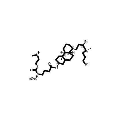 CCCCCCCCCCN(CCCC(=O)O[C@H]1CC[C@@]2(C)C(=CC[C@H]3[C@H](CC[C@@H](CC)[C@H](C)CCCC(C)C)CCC[C@@H]32)C1)C(=O)SCCN(C)C